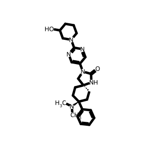 CN(C)[C@]1(c2ccccc2)CC[C@]2(CC1)CN(c1cnc(N3CCCC(O)C3)nc1)C(=O)N2